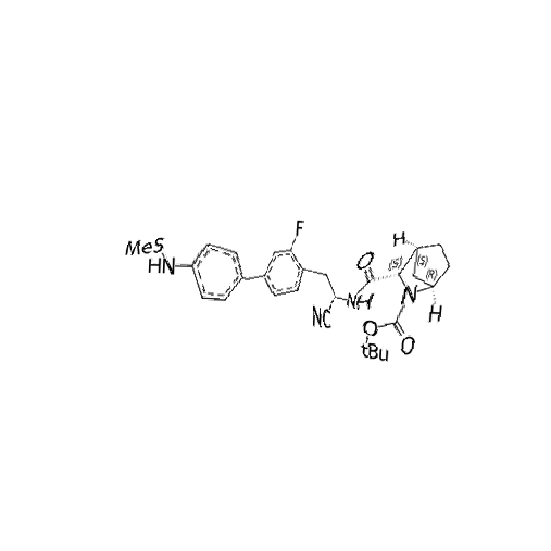 CSNc1ccc(-c2ccc(CC(C#N)NC(=O)[C@@H]3[C@H]4CC[C@H](C4)N3C(=O)OC(C)(C)C)c(F)c2)cc1